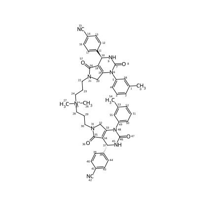 Cc1cccc(N2C(=O)N[C@H](c3ccc(C#N)cc3)C3=C2CN(CCC[N+](C)(C)CCCN2CC4=C(C2=O)[C@@H](c2ccc(C#N)cc2)NC(=O)N4c2cccc(C)c2)C3=O)c1